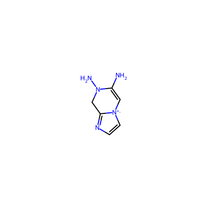 NC1=C[N+]2C=CN=C2CN1N